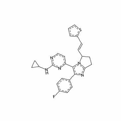 Fc1ccc(-c2nc3n(c2-c2ccnc(NC4CC4)n2)C(/C=C/c2cccs2)CC3)cc1